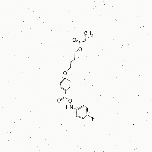 C=CC(=O)OCCCCOc1ccc(C(=O)ONc2ccc(F)cc2)cc1